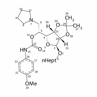 CCCCCCCO[C@H]1O[C@H]([C@@H](CN2CCCC2)OC(=O)Nc2ccc(OC)cc2)[C@@H]2OC(C)(C)O[C@H]12